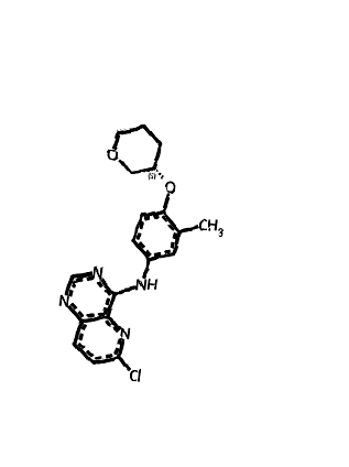 Cc1cc(Nc2ncnc3ccc(Cl)nc23)ccc1O[C@H]1CCCOC1